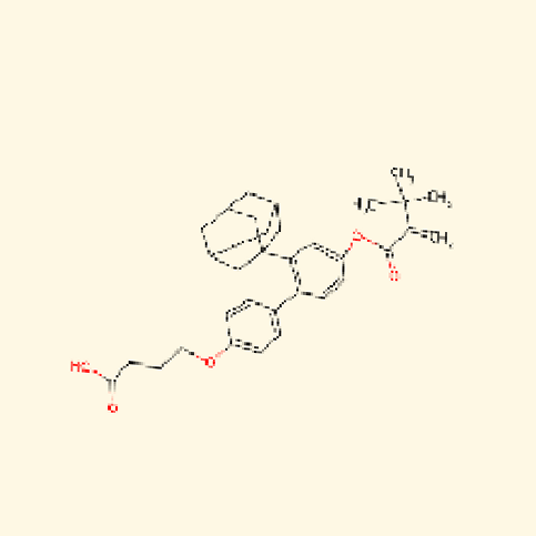 C=C(C(=O)Oc1ccc(-c2ccc(OCCCC(=O)O)cc2)c(C23CC4CC(CC(C4)C2)C3)c1)C(C)(C)C